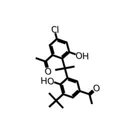 CC(=O)c1cc(C(C)(C)C)c(O)c(C(C)(C)c2c(O)cc(Cl)cc2C(C)=O)c1